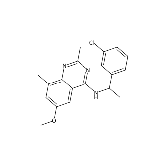 COc1cc(C)c2nc(C)nc(NC(C)c3cccc(Cl)c3)c2c1